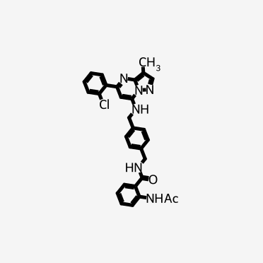 CC(=O)Nc1ccccc1C(=O)NCc1ccc(CNc2cc(-c3ccccc3Cl)nc3c(C)cnn23)cc1